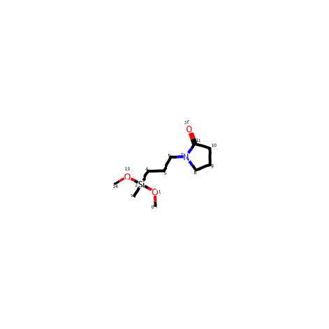 CO[Si](C)(CCCN1CCCC1=O)OC